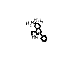 NC1(N)C=CC(C=Cc2ccccc2)=C(c2ccnnn2)C1